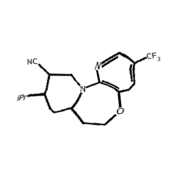 CC(C)C1CC2CCOc3cc(C(F)(F)F)cnc3N2CC1C#N